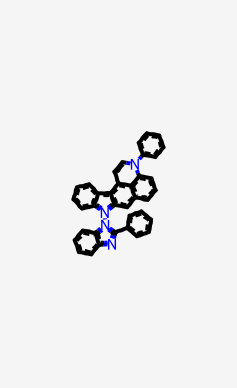 C1=CN(c2ccccc2)c2cccc3cc4c(c1c23)c1ccccc1n4-n1c(-c2ccccc2)nc2ccccc21